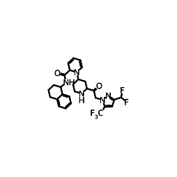 O=C(Cn1nc(C(F)F)cc1C(F)(F)F)C1CC(N2C=CC=CC2C(=O)NC2CCCc3ccccc32)CCN1